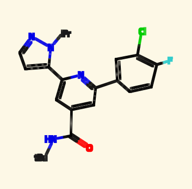 CC(C)n1nccc1-c1cc(C(=O)NC(C)(C)C)cc(-c2ccc(F)c(Cl)c2)n1